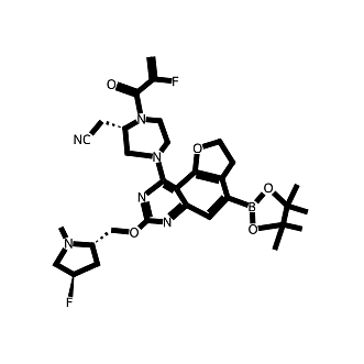 C=C(F)C(=O)N1CCN(c2nc(OC[C@@H]3C[C@@H](F)CN3C)nc3cc(B4OC(C)(C)C(C)(C)O4)c4c(c23)OCC4)C[C@@H]1CC#N